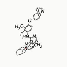 C=CC(=O)N1CC2CCC(C1)C2c1ccc2ncnc(Nc3ccc(Oc4ccn5ncnc5c4)c(C)c3F)c2n1